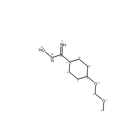 COCOC1CCN(C(=N)NO)CC1